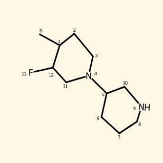 CC1CCN(C2CCCNC2)CC1F